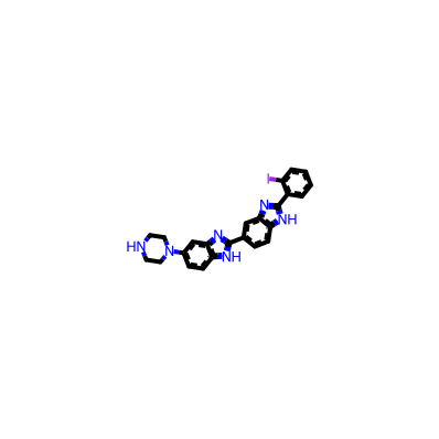 Ic1ccccc1-c1nc2cc(-c3nc4cc(N5CCNCC5)ccc4[nH]3)ccc2[nH]1